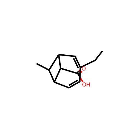 CCC1=CC2C(C)C(C=C1)C2C(=O)O